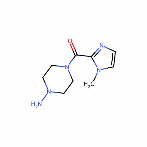 Cn1ccnc1C(=O)N1CCN(N)CC1